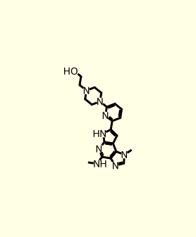 CNc1nc2[nH]c(-c3cccc(N4CCN(CCO)CC4)n3)cc2c2c1ncn2C